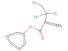 C=C(C(=O)Oc1ccccc1)C(Cl)(Cl)CCl